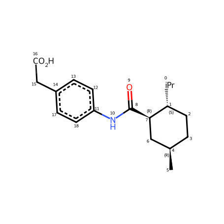 CC(C)[C@@H]1CC[C@@H](C)C[C@H]1C(=O)Nc1ccc(CC(=O)O)cc1